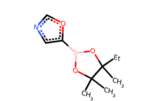 CCC1(C)OB(c2cnco2)OC1(C)C